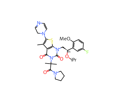 COc1ccc(F)cc1[C@H](Cn1c(=O)n(C(C)(C)C(=O)N2CCCC2)c(=O)c2c(C)c(N3C=CN=CC3)sc21)OC(C)C